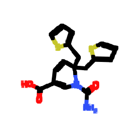 NC(=O)N1C=C(C(=O)O)C=CC1(Cc1cccs1)Cc1cccs1